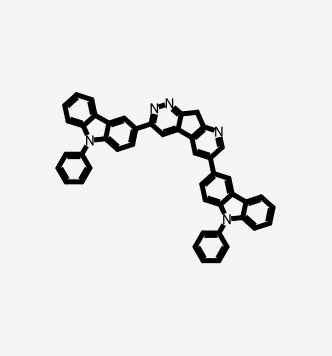 c1ccc(-n2c3ccccc3c3cc(-c4cnc5c(c4)-c4cc(-c6ccc7c(c6)c6ccccc6n7-c6ccccc6)nnc4C5)ccc32)cc1